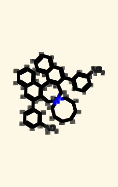 O=[N+]([O-])c1cccc(-c2cc3ccccc3c3c2C[N+]2(CCCCCCC2)Cc2c(-c4cccc([N+](=O)[O-])c4)cc4ccccc4c2-3)c1